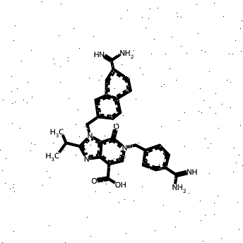 CC(C)c1nc2c(C(=O)O)cn(Cc3ccc(C(=N)N)cc3)c(=O)c2n1Cc1ccc2ccc(C(=N)N)cc2c1